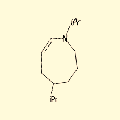 CC(C)C1C/C=C\N(C(C)C)CCC1